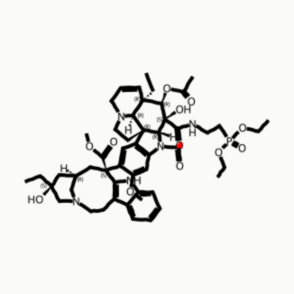 CCOP(=O)(CCNC(=O)[C@@]1(O)[C@H](OC(C)=O)[C@]2(CC)C=CCN3CC[C@@]4(c5cc([C@@]6(C(=O)OC)C[C@H]7CN(CCc8c6[nH]c6ccccc86)C[C@](O)(CC)C7)c(OC)cc5N(C=O)[C@@H]14)[C@@H]32)OCC